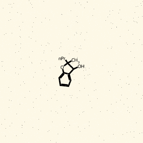 CCCC1(C)Oc2ccccc2C1O